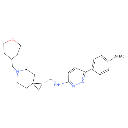 CC(=O)Nc1ccc(-c2ccc(NC[C@@H]3CC34CCN(CC3CCOCC3)CC4)nn2)cc1